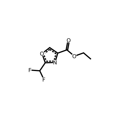 CCOC(=O)c1coc(C(F)F)n1